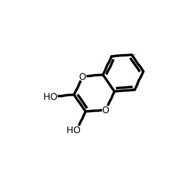 OC1=C(O)Oc2cc[c]cc2O1